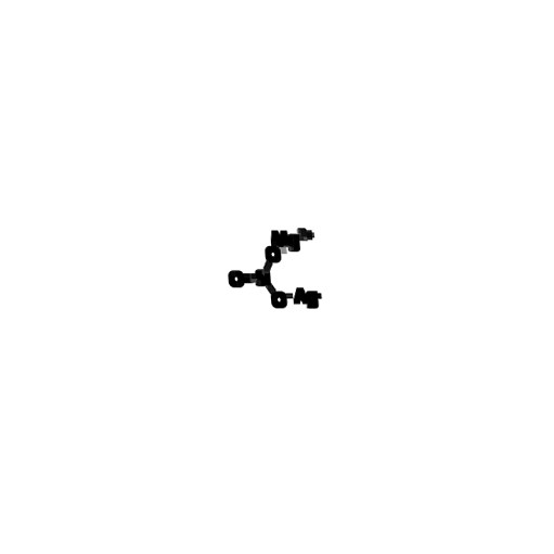 O=[Si]([O-])[O-].[Ag].[Mg+2]